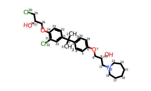 CC(C)(c1ccc(OC[C@H](O)CN2CCCCCC2)cc1)c1ccc(OC[C@H](O)CCl)c(Cl)c1